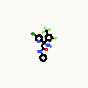 N[C@@](CC(=O)Nc1ccccc1)(c1cc(F)cc(C(F)(F)F)c1)c1ccc(Cl)cn1